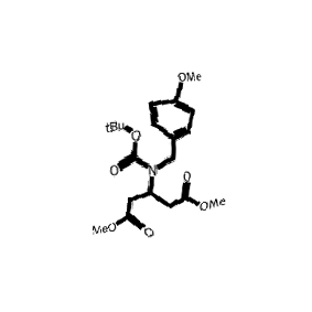 COC(=O)CC(CC(=O)OC)N(Cc1ccc(OC)cc1)C(=O)OC(C)(C)C